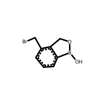 OB1OCc2c(CBr)cccc21